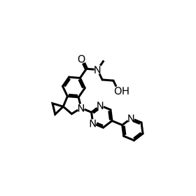 CN(CCO)C(=O)c1ccc2c(c1)N(c1ncc(-c3ccccn3)cn1)CC21CC1